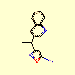 CC(c1cnc2ccccc2c1)c1cc(N)on1